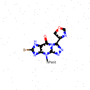 CCCCCn1c2nc(Br)[nH]c2c(=O)n2c(-c3cocn3)nnc12